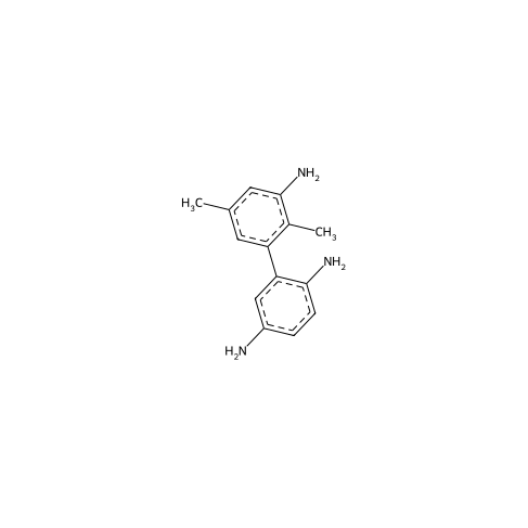 Cc1cc(N)c(C)c(-c2cc(N)ccc2N)c1